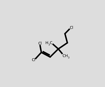 CC(C)(C=C(Cl)Cl)CCCl